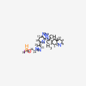 CC(C)(c1ccc2ncccc2c1)n1nnc2ccc(-c3cnn(CCOPI)c3)nc21